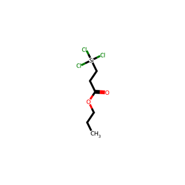 CCCOC(=O)CC[Si](Cl)(Cl)Cl